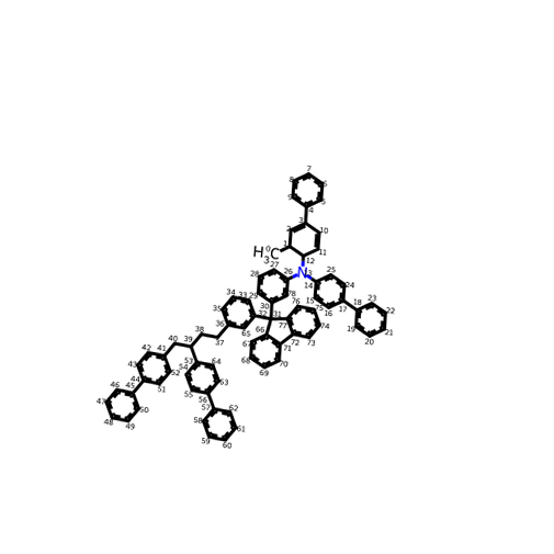 CC1C=C(c2ccccc2)C=CC1N(c1ccc(-c2ccccc2)cc1)c1cccc(C2(c3cccc(CCC(Cc4ccc(-c5ccccc5)cc4)c4ccc(-c5ccccc5)cc4)c3)c3ccccc3-c3ccccc32)c1